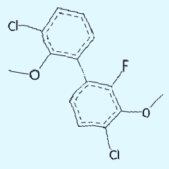 COc1c(Cl)cccc1-c1ccc(Cl)c(OC)c1F